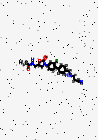 CC(=O)NCC1CN(c2ccc(-c3ccc(CNCCC#N)cc3)c(F)c2)C(=O)O1